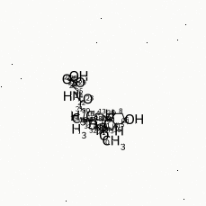 CO[C@@H]1C[C@@H]2C[C@H](O)CC[C@]2(C)[C@H]2CC[C@]3(C)[C@@H]([C@H](C)CCC(=O)NCCS(=O)(=O)O)CC[C@H]3[C@H]12